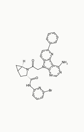 Nc1ncnc2c1c1nc(-c3ccccc3)ccc1n2CC(=O)N1[C@@H]2CC2C[C@H]1C(=O)Nc1cccc(Br)n1